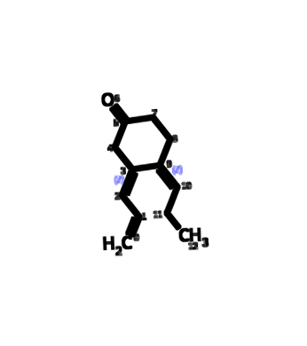 C=C/C=C1/CC(=O)CC/C1=C/CC